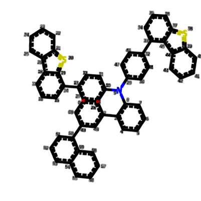 c1cc(-c2ccccc2N(c2ccc(-c3cccc4c3sc3ccccc34)cc2)c2ccc(-c3cccc4sc5ccccc5c34)cc2)cc(-c2cccc3ccccc23)c1